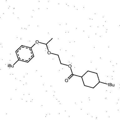 CCC(C)c1ccc(OC(C)OCCOC(=O)C2CCC(C(C)(C)C)CC2)cc1